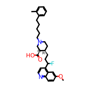 COc1ccc2nccc(C(F)CC[C@@H]3CCN(CCCCCc4ccccc4C)C[C@@H]3C(=O)O)c2c1